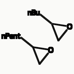 CCCCC1CO1.CCCCCC1CO1